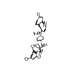 O=S(=O)(N[C@H]1CC[C@@H](Nc2ccnc3cc(Cl)ccc23)CC1)c1c(Cl)cc(Cl)cc1Cl